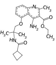 CCOC(=O)c1c(C)nc2cccc(OCC(C)(C)NC(=O)C3CCC3)c2c1N